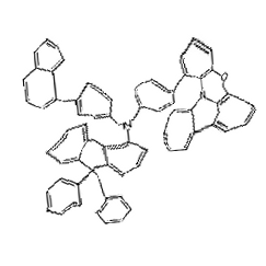 c1ccc(C2(c3ccccc3)c3ccccc3-c3c(N(c4ccc(-c5cccc6c5-n5c7ccccc7c7cccc(c75)O6)cc4)c4ccc(-c5cccc6ccccc56)cc4)cccc32)cc1